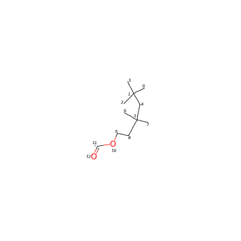 CC(C)(C)CC(C)(C)CCO[C]=O